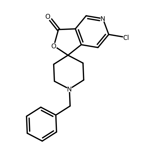 O=C1OC2(CCN(Cc3ccccc3)CC2)c2cc(Cl)ncc21